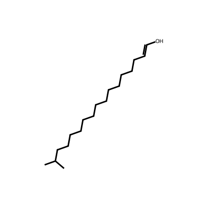 CC(C)CCCCCCCCCCCCCC=CO